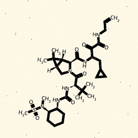 C=CCNC(=O)C(=O)C(CC1CC1)NC(=O)[C@@H]1[C@@H]2[C@H](CN1C(=O)[C@@H](NC(=O)N[C@H]1CCCC[C@H]1N(C)S(C)(=O)=O)C(C)(C)C)C2(C)C